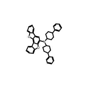 c1ccc(C2CCC(N(c3cc4c5ccccc5oc4c4c3oc3ccccc34)C3CCC(c4ccccc4)CC3)CC2)cc1